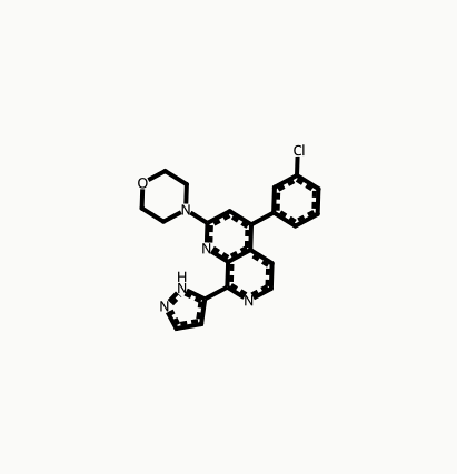 Clc1cccc(-c2cc(N3CCOCC3)nc3c(-c4ccn[nH]4)nccc23)c1